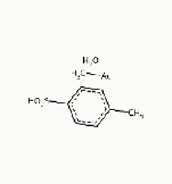 CC(C)=O.Cc1ccc(S(=O)(=O)O)cc1.O